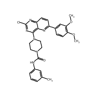 COc1ccc(-c2ccc3nc(Cl)nc(N4CCN(C(=O)Nc5cccc(C)c5)CC4)c3n2)cc1OC